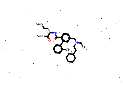 COC(=O)[C@H](CCSC)NC(=O)c1ccc(CN(CCC2CCCCC2)CC(F)(F)F)cc1-c1ccccc1C